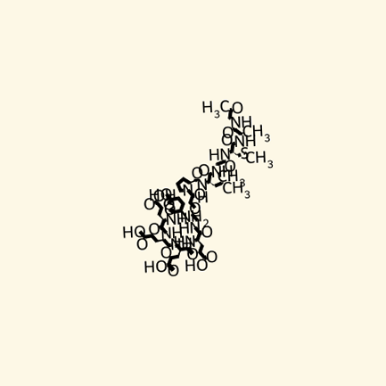 CSC[C@H](NC(=O)CNC(=O)[C@H](CC(C)C)NC(=O)[C@@H]1CCCN1C(=O)COCCNC(=O)[C@@H](CCC(=O)O)NC(=O)[C@@H](CCC(=O)O)NC(=O)[C@@H](CCC(=O)O)NC(=O)[C@@H](CCC(=O)O)NC(=O)[C@H](N)CCC(=O)O)C(=O)N[C@@H](C)C(=O)NCC(C)=O